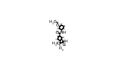 CCOc1cccc(NC(=O)c2ccc3c(c2)NC(=O)C3(C)C)c1